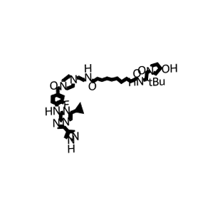 CC(C)(C)[C@H](NC(=O)CCCCCCCCC(=O)NCCN1CCN(C(=O)c2ccc(Nc3nc(C4CC4)cn4c(-c5cn[nH]c5)cnc34)c(F)c2)CC1)C(=O)N1CC[C@@H](O)C1